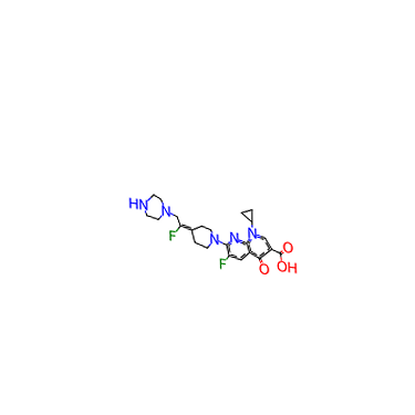 O=C(O)c1cn(C2CC2)c2nc(N3CCC(=C(F)CN4CCNCC4)CC3)c(F)cc2c1=O